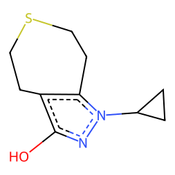 Oc1nn(C2CC2)c2c1CCSCC2